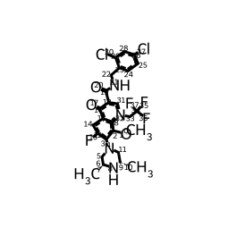 COc1c(N2C[C@@H](C)N[C@@H](C)C2)c(F)cc2c(=O)c(C(=O)NCc3ccc(Cl)cc3Cl)cn(CC(F)(F)F)c12